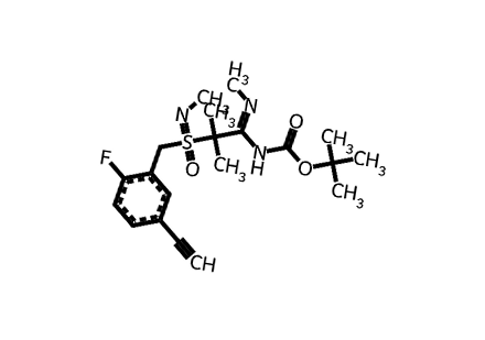 C#Cc1ccc(F)c(CS(=O)(=NC)C(C)(C)/C(=N\C)NC(=O)OC(C)(C)C)c1